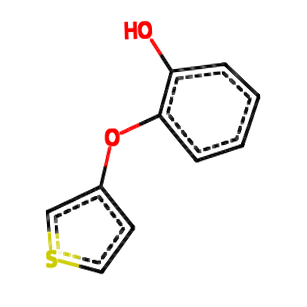 Oc1ccccc1Oc1ccsc1